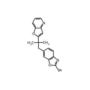 CC(C)c1nc2ccc(CC(C)(C)c3cc4ncccc4o3)cc2o1